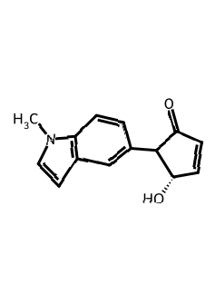 Cn1ccc2cc(C3C(=O)C=C[C@@H]3O)ccc21